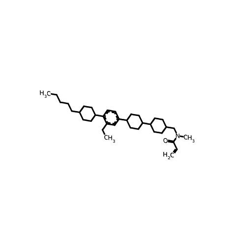 C=CC(=O)N(C)CC1CCC(C2CCC(c3ccc(C4CCC(CCCCC)CC4)c(CC)c3)CC2)CC1